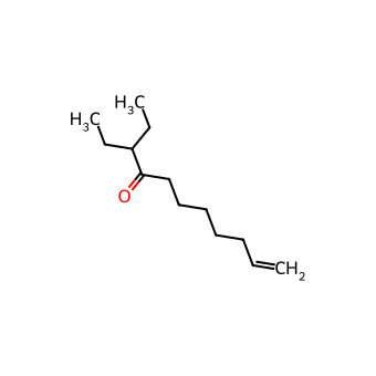 C=CCCCCCC(=O)C(CC)CC